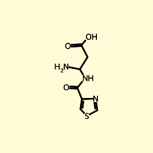 NC(CC(=O)O)NC(=O)c1cscn1